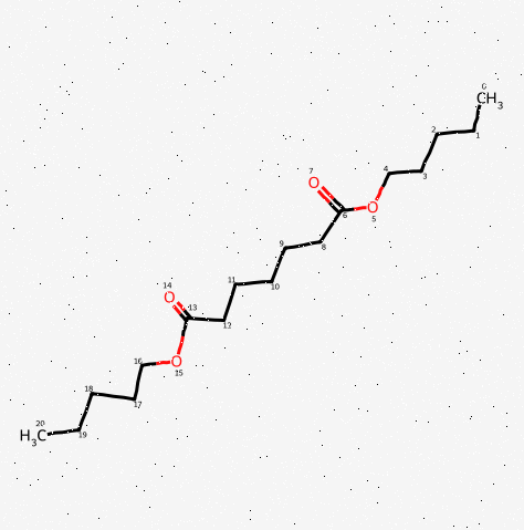 CCCCCOC(=O)CCCCCC(=O)OCCCCC